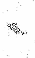 COCC(C)(C)NCc1cc(C(F)(F)F)c2oc(-c3c(F)ccc(-c4ccccc4)c3-c3nncn3C)nc2c1